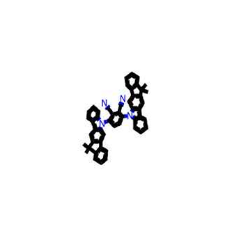 CC1(C)c2ccccc2-c2cc3c(cc21)c1ccccc1n3-c1ccc(-n2c3ccccc3c3cc4c(cc32)-c2ccccc2C4(C)C)c(C#N)c1C#N